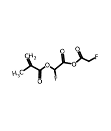 C=C(C)C(=O)OC(F)C(=O)OC(=O)CF